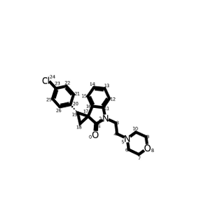 O=C1N(CCN2CCOCC2)c2ccccc2C12C[C@@H]2c1ccc(Cl)cc1